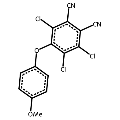 COc1ccc(Oc2c(Cl)c(Cl)c(C#N)c(C#N)c2Cl)cc1